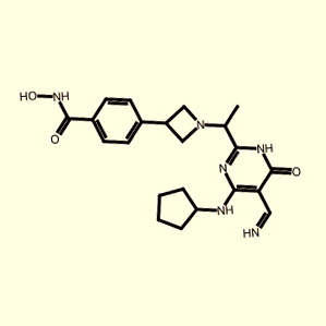 CC(c1nc(NC2CCCC2)c(C=N)c(=O)[nH]1)N1CC(c2ccc(C(=O)NO)cc2)C1